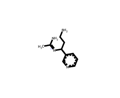 BCCC(/N=C(/C)N)c1cccnc1